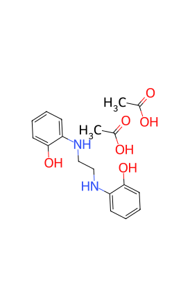 CC(=O)O.CC(=O)O.Oc1ccccc1NCCNc1ccccc1O